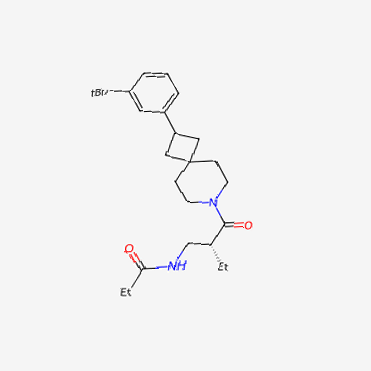 CCC(=O)NC[C@@H](CC)C(=O)N1CCC2(CC1)CC(c1cccc(C(C)(C)C)c1)C2